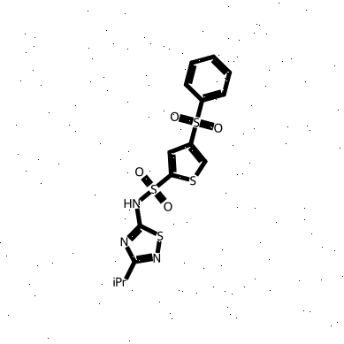 CC(C)c1nsc(NS(=O)(=O)c2cc(S(=O)(=O)c3ccccc3)cs2)n1